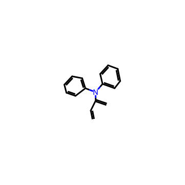 C=CC(=C)N(c1ccccc1)c1ccccc1